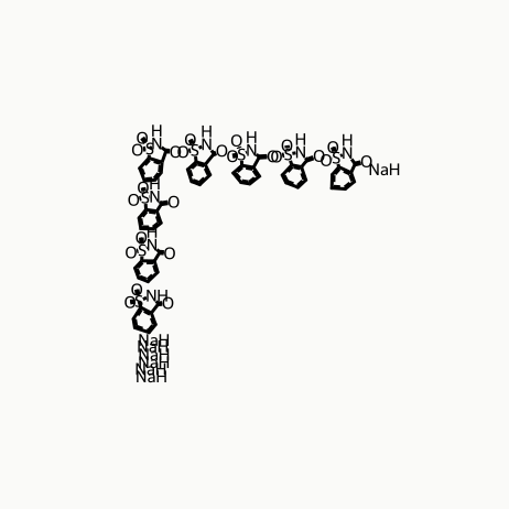 O=C1NS(=O)(=O)c2ccccc21.O=C1NS(=O)(=O)c2ccccc21.O=C1NS(=O)(=O)c2ccccc21.O=C1NS(=O)(=O)c2ccccc21.O=C1NS(=O)(=O)c2ccccc21.O=C1NS(=O)(=O)c2ccccc21.O=C1NS(=O)(=O)c2ccccc21.O=C1NS(=O)(=O)c2ccccc21.[NaH].[NaH].[NaH].[NaH].[NaH].[NaH].[NaH]